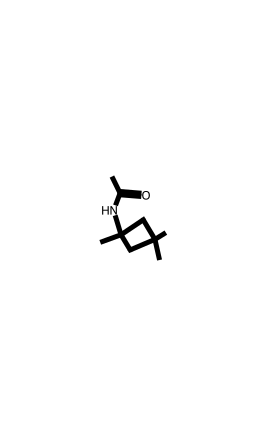 CC(=O)NC1(C)CC(C)(C)C1